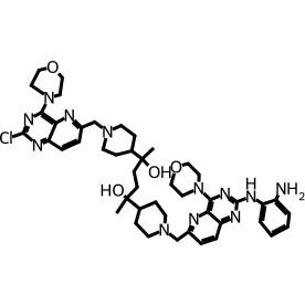 CC(O)(CCC(C)(O)C1CCN(Cc2ccc3nc(Nc4ccccc4N)nc(N4CCOCC4)c3n2)CC1)C1CCN(Cc2ccc3nc(Cl)nc(N4CCOCC4)c3n2)CC1